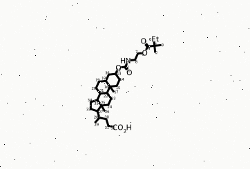 CCC(C)(C)C(=O)OCCNC(=O)OC1CCC2(C)C(CCC3C2CCC2(C)C(C(C)CCC(=O)O)CCC32)C1